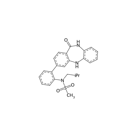 CC(C)CN(c1ccccc1-c1ccc2c(c1)Nc1ccccc1NC2=O)S(C)(=O)=O